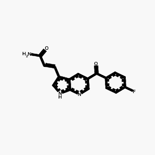 NC(=O)C=Cc1c[nH]c2ncc(C(=O)c3ccc(F)cc3)cc12